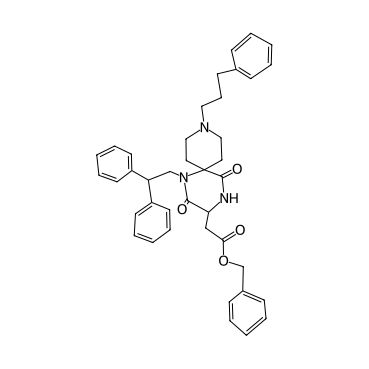 O=C(CC1NC(=O)C2(CCN(CCCc3ccccc3)CC2)N(CC(c2ccccc2)c2ccccc2)C1=O)OCc1ccccc1